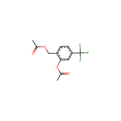 CC(=O)OCc1ccc(C(F)(F)F)cc1OC(C)=O